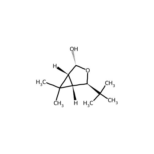 CC(C)(C)[C@@H]1O[C@@H](O)[C@@H]2[C@H]1C2(C)C